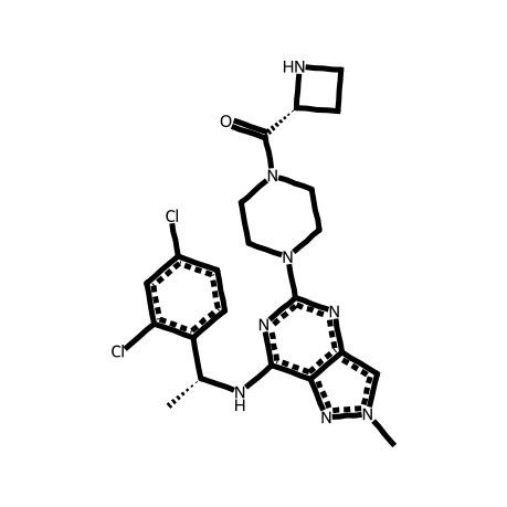 C[C@@H](Nc1nc(N2CCN(C(=O)[C@H]3CCN3)CC2)nc2cn(C)nc12)c1ccc(Cl)cc1Cl